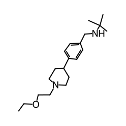 CCOCCN1CCC(c2ccc(CNC(C)(C)C)cc2)CC1